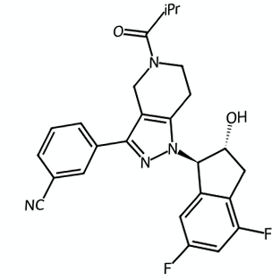 CC(C)C(=O)N1CCc2c(c(-c3cccc(C#N)c3)nn2[C@@H]2c3cc(F)cc(F)c3C[C@H]2O)C1